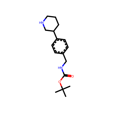 CC(C)(C)OC(=O)NCc1ccc(C2CCCNC2)cc1